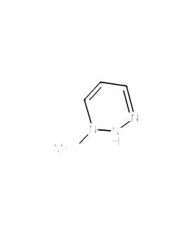 CSN1C=CC=NN1